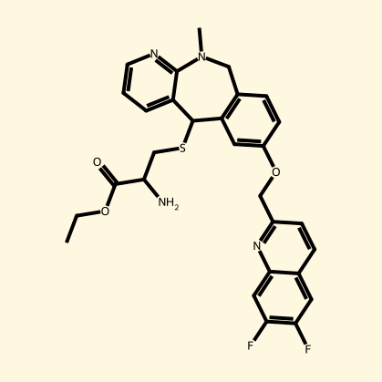 CCOC(=O)C(N)CSC1c2cc(OCc3ccc4cc(F)c(F)cc4n3)ccc2CN(C)c2ncccc21